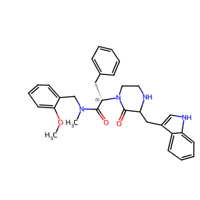 COc1ccccc1CN(C)C(=O)[C@H](Cc1ccccc1)N1CCNC(Cc2c[nH]c3ccccc23)C1=O